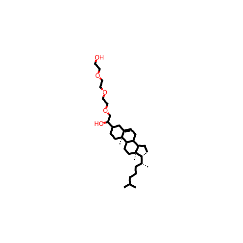 CC(C)CCC[C@@H](C)[C@H]1CCC2C3CC=C4CC(C(O)COCCOCCOCCO)CC[C@]4(C)C3CC[C@@]21C